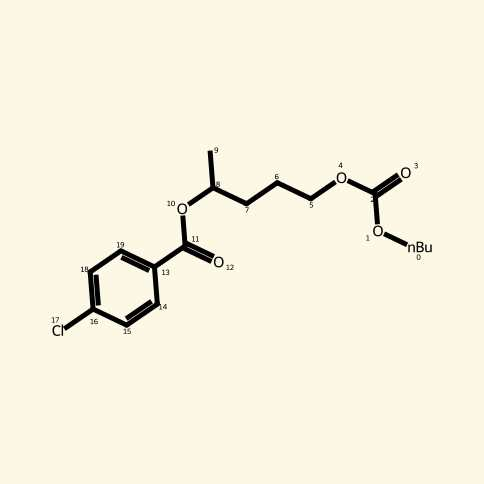 CCCCOC(=O)OCCCC(C)OC(=O)c1ccc(Cl)cc1